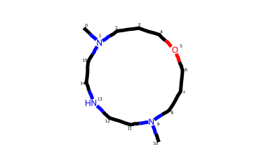 CN1CCCOCCCN(C)CCNCC1